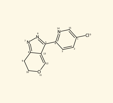 Clc1ccc(C2=NN=C3CCOC=C32)nc1